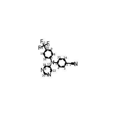 N#Cc1ccc(N(c2ccc(C(F)(F)F)cc2)c2cncnc2)cc1